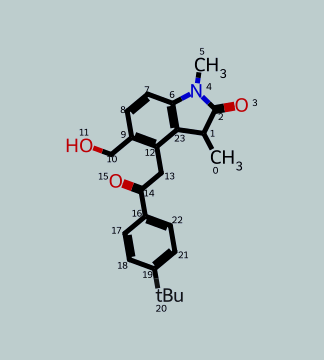 CC1C(=O)N(C)c2ccc(CO)c(CC(=O)c3ccc(C(C)(C)C)cc3)c21